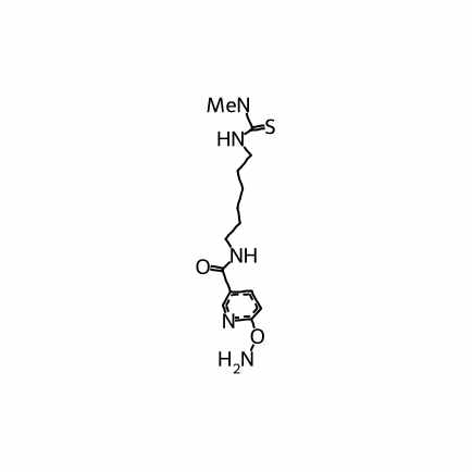 CNC(=S)NCCCCCCNC(=O)c1ccc(ON)nc1